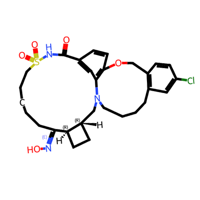 O=C1NS(=O)(=O)CCCCC/C(=N\O)[C@@H]2CC[C@H]2CN2CCCCc3cc(Cl)ccc3COc3ccc1cc32